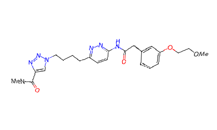 CNC(=O)c1cn(CCCCc2ccc(NC(=O)Cc3cccc(OCCOC)c3)nn2)nn1